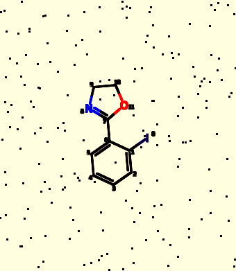 Ic1ccccc1C1=NCCO1